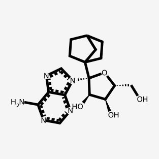 Nc1ncnc2c1ncn2[C@]1(C23CCC(CC2)C3)O[C@H](CO)[C@@H](O)[C@H]1O